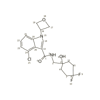 O=C(NCC1(O)CCC(F)(F)CC1)c1cn(C2COC2)c2cccc(Cl)c12